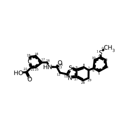 CSc1cccc(C2C=c3sc(CC(=O)NCc4cccc(C(=O)O)c4)nc3=CC2)c1